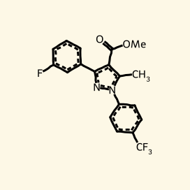 COC(=O)c1c(-c2cccc(F)c2)nn(-c2ccc(C(F)(F)F)cc2)c1C